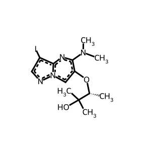 C[C@@H](Oc1cn2ncc(I)c2nc1N(C)C)C(C)(C)O